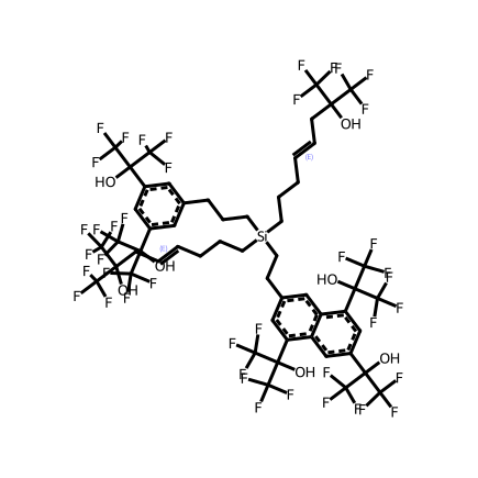 OC(C/C=C/CCC[Si](CCC/C=C/CC(O)(C(F)(F)F)C(F)(F)F)(CCCc1cc(C(O)(C(F)(F)F)C(F)(F)F)cc(C(O)(C(F)(F)F)C(F)(F)F)c1)CCc1cc(C(O)(C(F)(F)F)C(F)(F)F)c2cc(C(O)(C(F)(F)F)C(F)(F)F)cc(C(O)(C(F)(F)F)C(F)(F)F)c2c1)(C(F)(F)F)C(F)(F)F